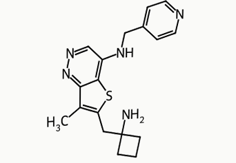 Cc1c(CC2(N)CCC2)sc2c(NCc3ccncc3)cnnc12